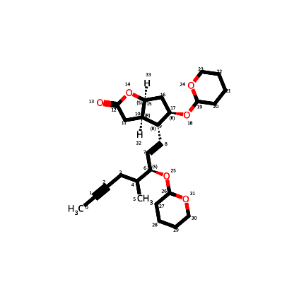 CC#CCC(C)[C@@H](C=C[C@@H]1[C@H]2CC(=O)O[C@H]2C[C@H]1OC1CCCCO1)OC1CCCCO1